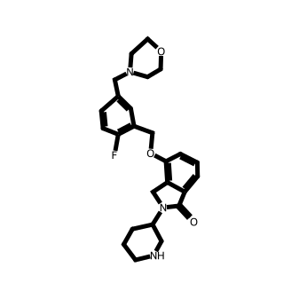 O=C1c2cccc(OCc3cc(CN4CCOCC4)ccc3F)c2CN1C1CCCNC1